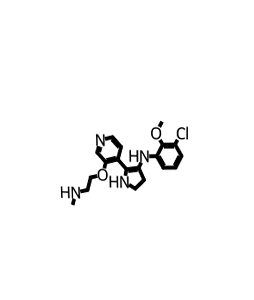 CNCCOc1cnccc1C1=C(Nc2cccc(Cl)c2OC)CCN1